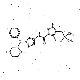 CC1(C)CCc2c(C(=O)Nc3cnn([C@@H](c4ccccc4)C4CNCCO4)c3)n[nH]c2C1